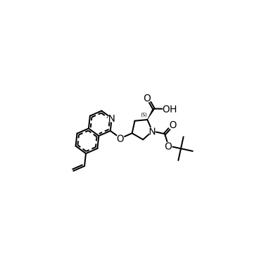 C=Cc1ccc2ccnc(OC3C[C@@H](C(=O)O)N(C(=O)OC(C)(C)C)C3)c2c1